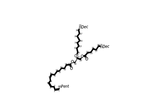 CCCCC/C=C\C/C=C\C/C=C\CCCCCCC(=O)OC[C@H](COC(=O)CCCCCCCCCCCCCCC)OCCCCCCCCCCCCCCCCCC